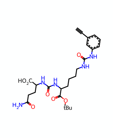 C#Cc1cccc(NC(=O)NCCCCC(NC(=O)NC(CCC(N)=O)C(=O)O)C(=O)OC(C)(C)C)c1